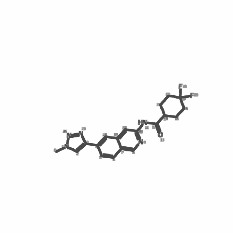 Cn1cc(-c2ccc3cnc(NC(=O)C4CCC(F)(F)CC4)cc3c2)nn1